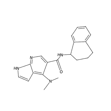 CN(C)c1c(C(=O)NC2CCCc3ccccc32)cnc2[nH]ccc12